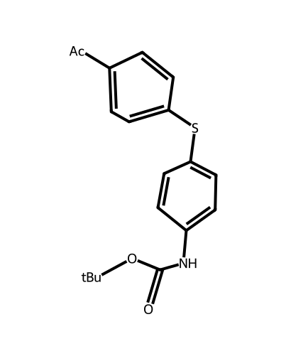 CC(=O)c1ccc(Sc2ccc(NC(=O)OC(C)(C)C)cc2)cc1